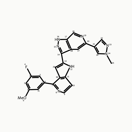 COc1cc(F)cc(-c2nccc3[nH]c(-c4n[nH]c5cnc(-c6cnn(C)c6)cc45)cc23)c1